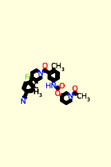 CC(=O)N1CCCC(OC(=O)Nc2ccc(C)c(C(=O)N3CCC(F)(c4ccc(C#N)cc4)C(C)C3)c2)C1